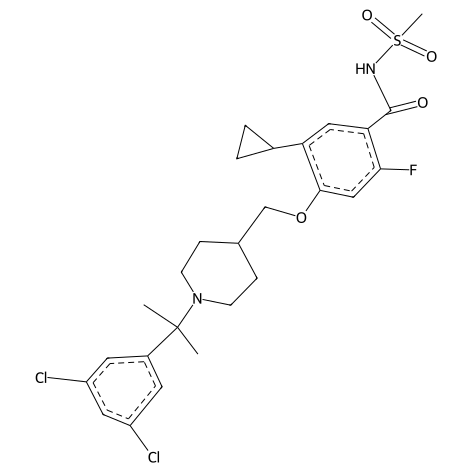 CC(C)(c1cc(Cl)cc(Cl)c1)N1CCC(COc2cc(F)c(C(=O)NS(C)(=O)=O)cc2C2CC2)CC1